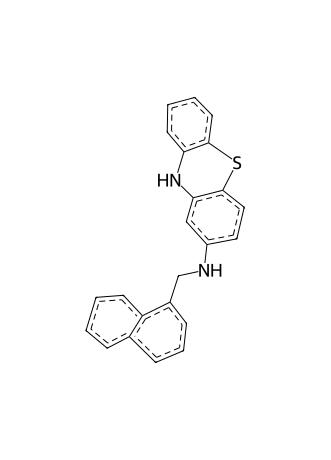 c1ccc2c(c1)Nc1cc(NCc3cccc4ccccc34)ccc1S2